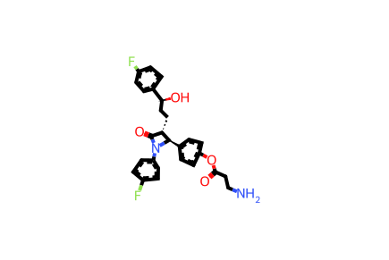 NCCC(=O)Oc1ccc([C@@H]2[C@@H](CC[C@H](O)c3ccc(F)cc3)C(=O)N2c2ccc(F)cc2)cc1